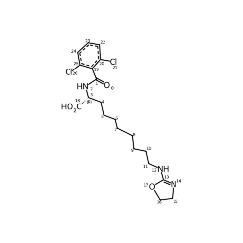 O=C(N[C@H](CCCCCCCCNC1=NCCO1)C(=O)O)c1c(Cl)cccc1Cl